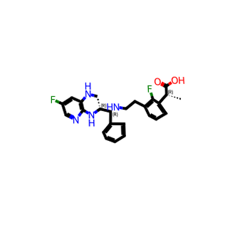 C[C@@H](C(=O)O)c1cccc(CCN[C@H](c2ccccc2)[C@H]2CNc3cc(F)cnc3N2)c1F